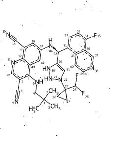 CC(C)(C)CNc1c(C#N)cnc2c(C#N)cc(N[C@H](C3=CN(C4(C(F)F)CC4)NN3)c3ccc(F)c4cnccc34)cc12